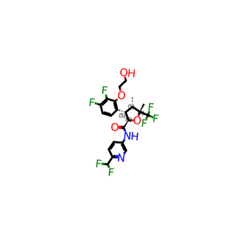 C[C@H]1[C@@H](c2ccc(F)c(F)c2OCCO)[C@H](C(=O)Nc2ccc(C(F)F)nc2)O[C@@]1(C)C(F)(F)F